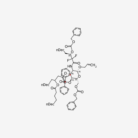 C=CCO[C@@H]1O[C@H](COC(=O)OCc2ccccc2)[C@@H](OP(=O)(c2ccccc2)c2ccccc2)[C@H](OC(=O)CC(CCCCCCCCCCC)OC(=O)CCCCCCCCCCCCC)C1NC(=O)C(F)(F)[C@@H](CCCCCCCCCCC)OC(=O)OCc1ccccc1